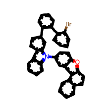 Brc1ccccc1-c1ccccc1-c1ccc2c3ccccc3n(-c3ccc4oc5ccc6ccccc6c5c4c3)c2c1